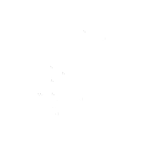 COn1c(=O)c(-c2c(Cl)cccc2Cl)cc2cnc(Nc3ccc(OCCN4CC[C@H](O)C4)cc3)nc21